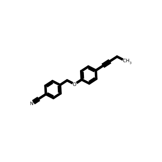 CCC#Cc1ccc(OCc2ccc(C#N)cc2)cc1